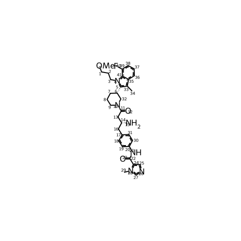 COCCCn1c([C@H]2CCCN(C(=O)C[C@H](N)Cc3ccc(NC(=O)c4cncn4C)cc3)C2)c(C)c2cccc(F)c21